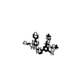 COCCOc1nc(C2CCOCC2)ncc1Nc1nccc(-c2cc(C#N)c3c(c2)[C@@](C)(CO[Si](C)(C)C(C)(C)C)CN3C(=O)OC(C)(C)C)n1